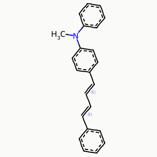 CN(c1ccccc1)c1ccc(/C=C/C=C/c2ccccc2)cc1